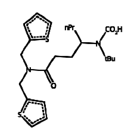 CCCC(CCC(=O)N(Cc1cccs1)Cc1cccs1)N(C(=O)O)C(C)(C)C